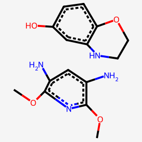 COc1nc(OC)c(N)cc1N.Oc1ccc2c(c1)NCCO2